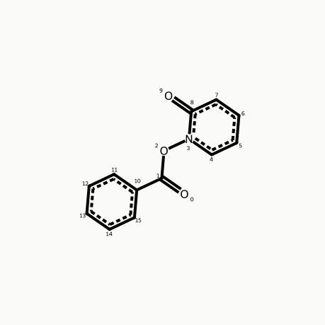 O=C(On1ccccc1=O)c1ccccc1